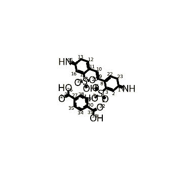 N=C1C=C(S(=O)(=O)O)C(C=CC2=CCC(=N)C=C2S(=O)(=O)O)=CC1.O=C(O)c1ccc(C(=O)O)cc1